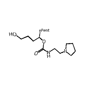 CCCCCC(CCCO)OC(=O)NCCN1CCCC1